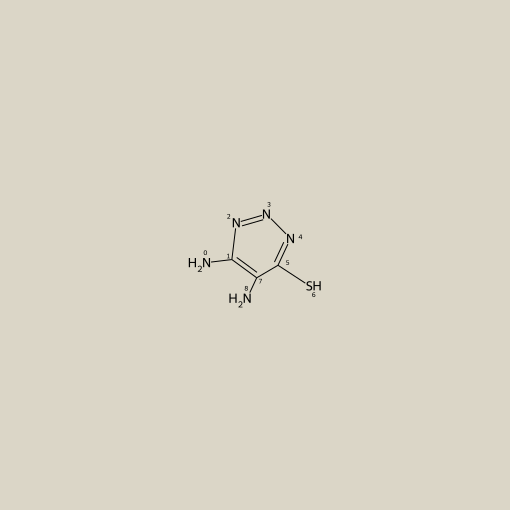 Nc1nnnc(S)c1N